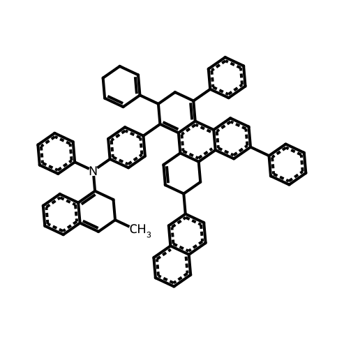 CC1C=c2ccccc2=C(N(c2ccccc2)c2ccc(C3=c4c5c(c6cc(-c7ccccc7)ccc6c4=C(c4ccccc4)CC3C3=CCCC=C3)CC(c3ccc4ccccc4c3)C=C5)cc2)C1